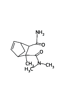 CN(C)C(=O)C1(C)C2C=CC(C2)C1C(N)=O